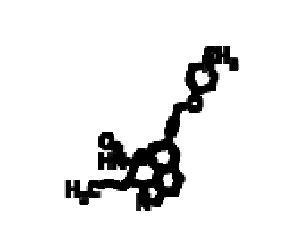 CCCC(C(=O)NC=O)C1=NCc2ccc3cc(C#CCOC4CCN(C)CC4)ccc3c21